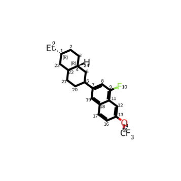 CC[C@@H]1CC[C@@H]2CC(c3cc(F)c4cc(OC(F)(F)F)ccc4c3)CCC2C1